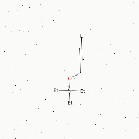 [Li][C]#CCO[Si](CC)(CC)CC